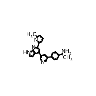 Cc1cccc(-c2cc(-c3cncc(-c4ccc([C@H](C)N)cc4)c3)c3cc[nH]c3n2)n1